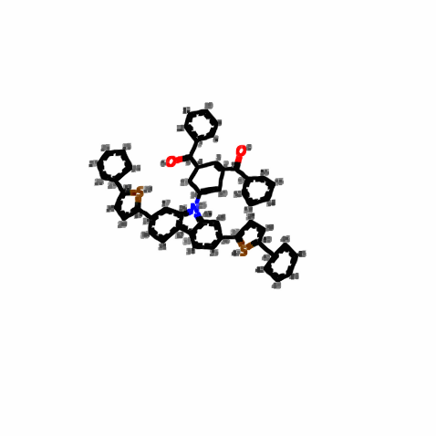 O=C(C1=CC(C(=O)c2ccccc2)CC(n2c3cc(-c4ccc(-c5ccccc5)s4)ccc3c3ccc(-c4ccc(-c5ccccc5)s4)cc32)=C1)c1ccccc1